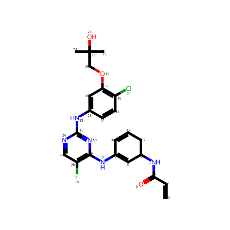 C=CC(=O)NC1C=C(Nc2nc(Nc3ccc(Cl)c(OCC(C)(C)O)c3)ncc2F)C=CC1